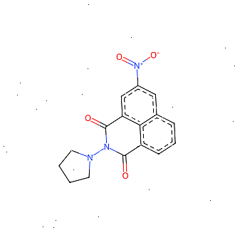 O=C1c2cccc3cc([N+](=O)[O-])cc(c23)C(=O)N1N1CCCC1